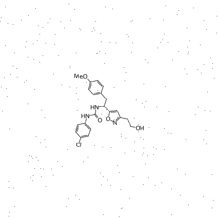 COc1ccc(CC(NC(=O)Nc2ccc(Cl)cc2)c2cc(CCO)no2)cc1